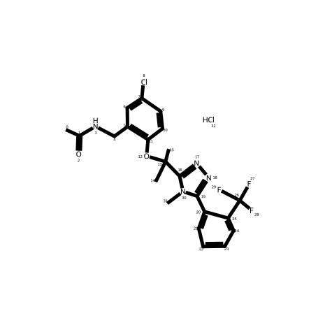 CC(=O)NCc1cc(Cl)ccc1OC(C)(C)c1nnc(-c2ccccc2C(F)(F)F)n1C.Cl